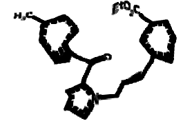 CCOC(=O)c1cccc(C=CCn2cccc2C(=O)c2ccc(C)cc2)c1